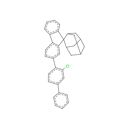 Clc1cc(-c2ccccc2)ccc1-c1ccc2c(c1)C1(c3ccccc3-2)C2CC3CC(C2)CC1C3